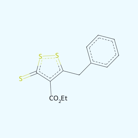 CCOC(=O)c1c(Cc2ccccc2)ssc1=S